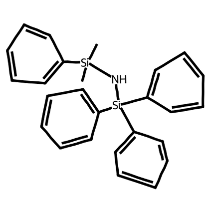 C[Si](C)(N[Si](c1ccccc1)(c1ccccc1)c1ccccc1)c1ccccc1